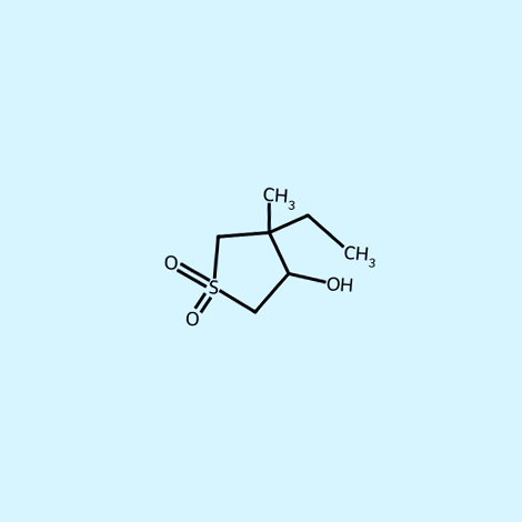 CCC1(C)CS(=O)(=O)CC1O